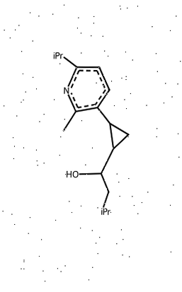 Cc1nc(C(C)C)ccc1C1CC1C(O)CC(C)C